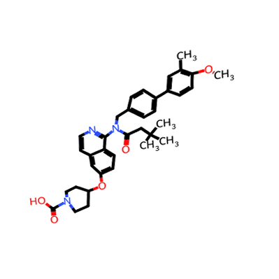 COc1ccc(-c2ccc(CN(C(=O)CC(C)(C)C)c3nccc4cc(OC5CCN(C(=O)O)CC5)ccc34)cc2)cc1C